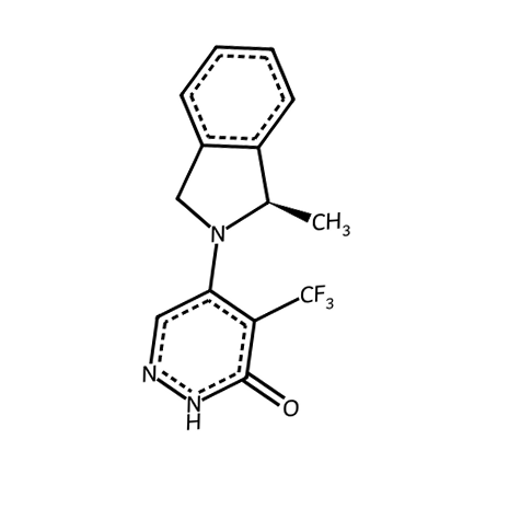 C[C@@H]1c2ccccc2CN1c1cn[nH]c(=O)c1C(F)(F)F